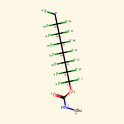 CCCCNC(=O)OC(F)(F)C(F)(F)C(F)(F)C(F)(F)C(F)(F)C(F)(F)C(F)(F)CF